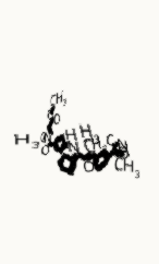 CCOC(=O)CCN(C)C(=O)c1ccc(NC(c2oc3ccc(-c4c(C)noc4C)cc3c2C)C2CCCCC2)cc1